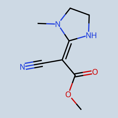 COC(=O)/C(C#N)=C1\NCCN1C